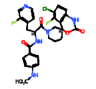 O=C(O)Nc1ccc(C(=O)N[C@@H](Cc2ccncc2F)C(=O)N2CCC[C@@]3(C2)OC(=O)Nc2ccc(Cl)c(F)c23)cc1